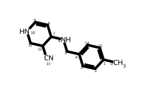 Cc1ccc(CNC2C=CNCC2C#N)cc1